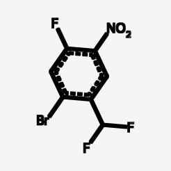 O=[N+]([O-])c1cc(C(F)F)c(Br)cc1F